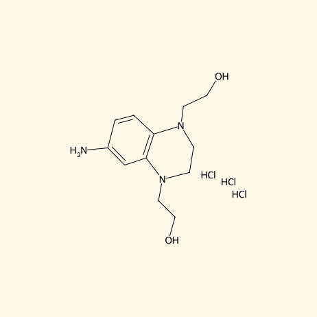 Cl.Cl.Cl.Nc1ccc2c(c1)N(CCO)CCN2CCO